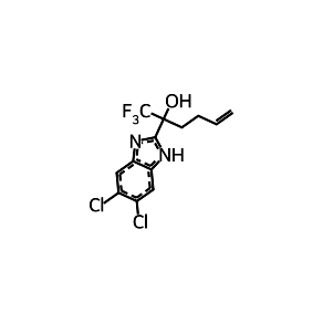 C=CCCC(O)(c1nc2cc(Cl)c(Cl)cc2[nH]1)C(F)(F)F